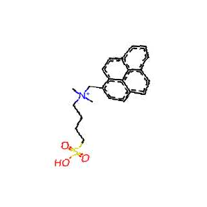 C[N+](C)(CCCCS(=O)(=O)O)Cc1ccc2ccc3cccc4ccc1c2c34